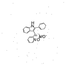 O=[N+]([O-])C[C@H](c1ccccn1)c1c(C2=CCCC=C2)[nH]c2ccccc12